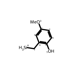 COc1ccc(O)c(C[SiH3])c1